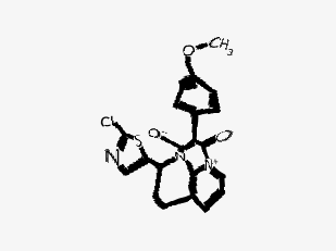 COc1ccc(-c2c([O-])n3c4c(ccc[n+]4c2=O)CCC3c2cnc(Cl)s2)cc1